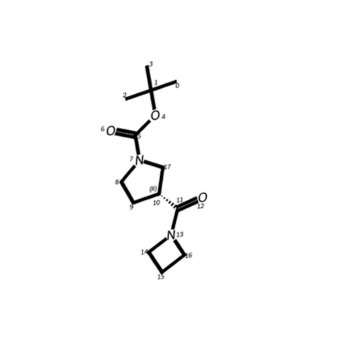 CC(C)(C)OC(=O)N1CC[C@@H](C(=O)N2CCC2)C1